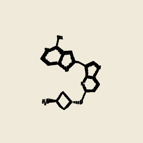 N[C@H]1C[C@H](Oc2ccc3ncc(-c4cc5c(O)nccc5o4)n3n2)C1